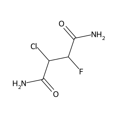 NC(=O)C(F)C(Cl)C(N)=O